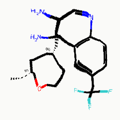 C[C@@H]1C[C@H](C2(N)c3cc(C(F)(F)F)ccc3N=CC2N)CCO1